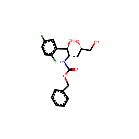 O=C(N[C@@H](C[C@H](O)CO)[C@H](O)c1cc(F)ccc1F)OCc1ccccc1